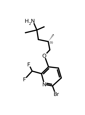 C[C@H](COc1ccc(Br)nc1C(F)F)CC(C)(C)N